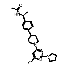 CC(=O)N[C@@H](C)c1ccc(C2CCN(c3cc(Cl)nc(N4CCCC4)n3)CC2)cc1